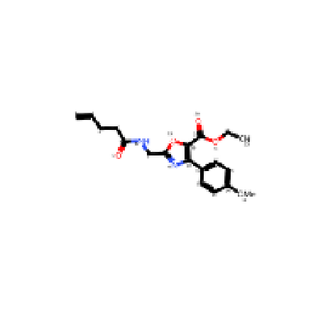 C=CCCC(=O)NCc1nc(-c2ccc(OC)cc2)c(C(=O)OCC#N)o1